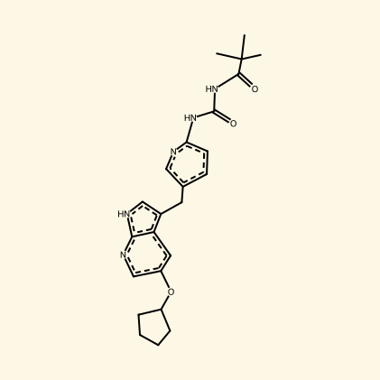 CC(C)(C)C(=O)NC(=O)Nc1ccc(Cc2c[nH]c3ncc(OC4CCCC4)cc23)cn1